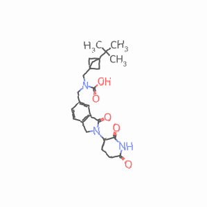 CC(C)(C)C12CC(CN(Cc3ccc4c(c3)C(=O)N(C3CCC(=O)NC3=O)C4)C(=O)O)(C1)C2